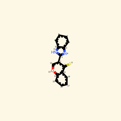 S=c1c(-c2nc3ccccc3[nH]2)coc2ccccc12